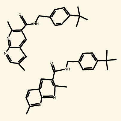 Cc1ccc2cc(C(=O)NCc3ccc(C(C)(C)C)cc3)c(C)nc2n1.Cc1cnc2nc(C)c(C(=O)NCc3ccc(C(C)(C)C)cc3)cc2c1